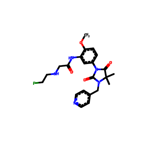 CC1(C)C(=O)N(c2ccc(OC(F)(F)F)c(NC(=O)CNCCF)c2)C(=O)N1Cc1ccncc1